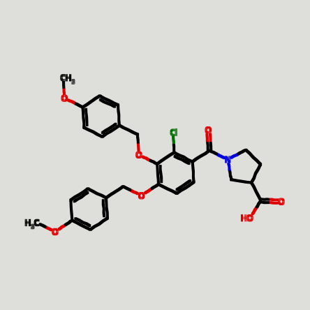 COc1ccc(COc2ccc(C(=O)N3CCC(C(=O)O)C3)c(Cl)c2OCc2ccc(OC)cc2)cc1